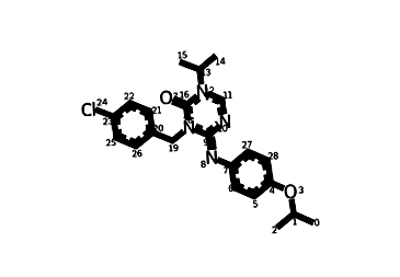 CC(C)Oc1ccc(N=c2ncn(C(C)C)c(=O)n2Cc2ccc(Cl)cc2)cc1